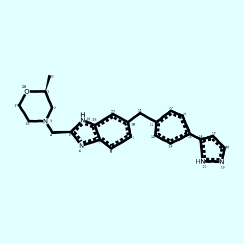 C[C@H]1CN(Cc2nc3ccc(Cc4ccc(-c5ccn[nH]5)cc4)cc3[nH]2)CCO1